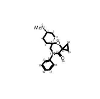 CN[C@H]1CC[C@@]2(CC1)CN(c1ccccc1)C(=O)C1(CC1)O2